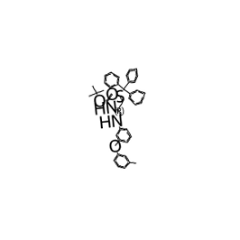 Cc1cccc(Oc2cccc(NC[C@H](CSC(c3ccccc3)(c3ccccc3)c3ccccc3)NC(=O)OC(C)(C)C)c2)c1